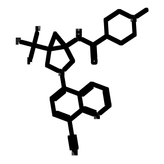 CN1CCC(C(=O)NC23CN(c4ccc(C#N)c5ncccc45)CC2(C(F)(F)F)C3)CC1